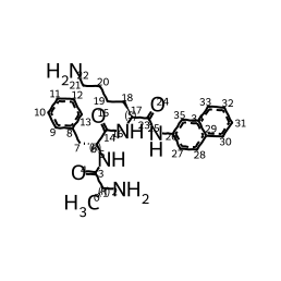 C[C@@H](N)C(=O)N[C@H](Cc1ccccc1)C(=O)N[C@@H](CCCCN)C(=O)Nc1ccc2ccccc2c1